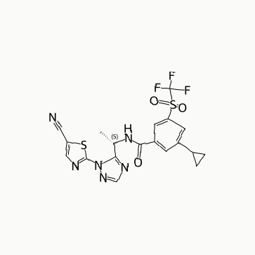 C[C@H](NC(=O)c1cc(C2CC2)cc(S(=O)(=O)C(F)(F)F)c1)c1ncnn1-c1ncc(C#N)s1